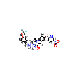 Cn1c(C(=O)N2CCN(Cc3ccc(OC(F)F)cc3)CC2)cc2cc(Oc3ccc([N+](=O)[O-])cn3)ccc21